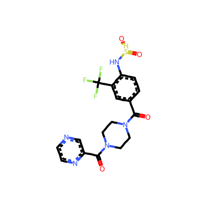 O=C(c1ccc(N[SH](=O)=O)c(C(F)(F)F)c1)N1CCN(C(=O)c2cnccn2)CC1